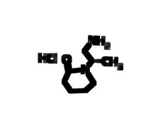 C[C@@H](CN)N1CCCCC1=O.Cl